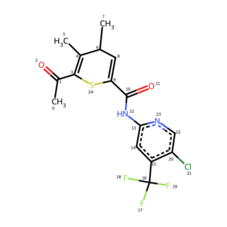 CC(=O)C1=C(C)C(C)C=C(C(=O)Nc2cc(C(F)(F)F)c(Cl)cn2)S1